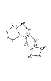 C(=N/C1CCCCC1)/c1ccc2c(c1)OCO2